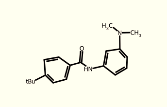 CN(C)c1cccc(NC(=O)c2ccc(C(C)(C)C)cc2)c1